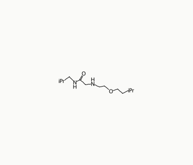 CC(C)CCOCCNCC(=O)NCC(C)C